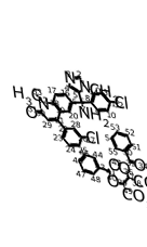 Cn1cncc1[C@@](N)(c1ccc(Cl)cc1)c1ccc2c(c1)c(-c1cccc(Cl)c1)cc(=O)n2C.O=C(O[C@@H](C(=O)O)[C@@H](OC(=O)c1ccccc1)C(=O)O)c1ccccc1